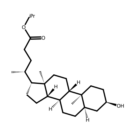 CC(C)OC(=O)CC[C@@H](C)[C@H]1CC[C@H]2[C@@H]3CC[C@@H]4C[C@H](O)CC[C@]4(C)[C@H]3CC[C@]12C